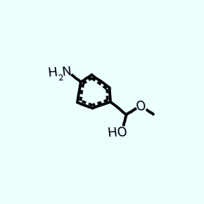 COC(O)c1ccc(N)cc1